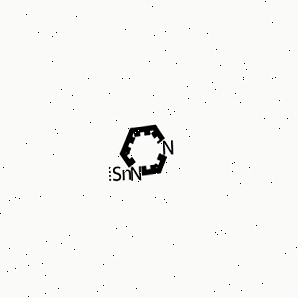 [Sn].c1cncnc1